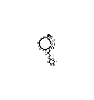 CC(C)[C@@H]1NC(=O)[C@@H](CC(=O)NOC2CCCCO2)CCCCCCCCN(C(C)C)C1=O